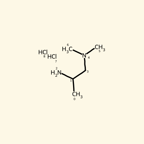 CC(N)CN(C)C.Cl.Cl